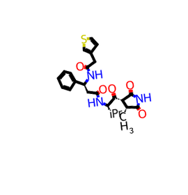 CC(C)[C@@H](NC(=O)C[C@H](NC(=O)Cc1ccsc1)c1ccccc1)C(=O)[C@@H]1C(=O)NC(=O)[C@@H]1C